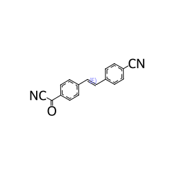 N#CC(=O)c1ccc(/C=C/c2ccc(C#N)cc2)cc1